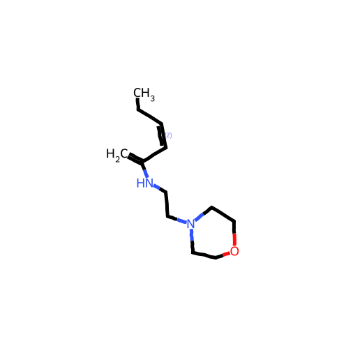 C=C(/C=C\CC)NCCN1CCOCC1